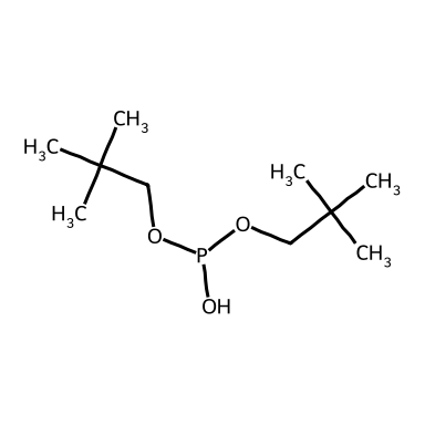 CC(C)(C)COP(O)OCC(C)(C)C